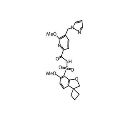 COc1ccc2c(c1S(=O)(=O)NC(=O)c1ccc(Cn3cccn3)c(OC)n1)OCC21CCC1